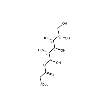 CCCCCCCCCCCC(=O)OC(O)[C@H](O)[C@H](O)[C@H](O)[C@@H](O)CO